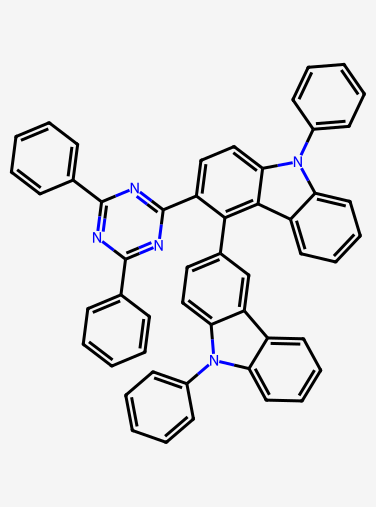 c1ccc(-c2nc(-c3ccccc3)nc(-c3ccc4c(c3-c3ccc5c(c3)c3ccccc3n5-c3ccccc3)c3ccccc3n4-c3ccccc3)n2)cc1